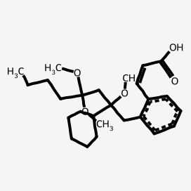 CCCCC(CC(Cc1ccccc1C=CC(=O)O)(OC)C1CCCCC1)(OC)OC